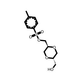 Cc1ccc(S(=O)(=O)OC[C@@H]2CO[C@@H](CO)CO2)cc1